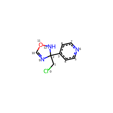 ClCC1(c2ccncc2)N=CON1